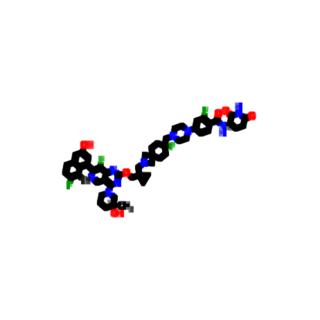 CCc1c(F)ccc2cc(O)cc(-c3ncc4c(N5CCC[C@@](C)(O)C5)nc(OCC5(CN6CC7(CCC(F)(CN8CCN(c9ccc(C(=O)N[C@H]%10CCC(=O)NC%10=O)c(F)c9)CC8)CC7)C6)CC5)nc4c3F)c12